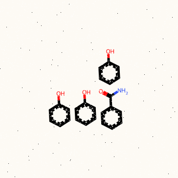 NC(=O)c1ccccc1.Oc1ccccc1.Oc1ccccc1.Oc1ccccc1